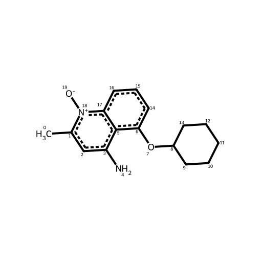 Cc1cc(N)c2c(OC3CCCCC3)cccc2[n+]1[O-]